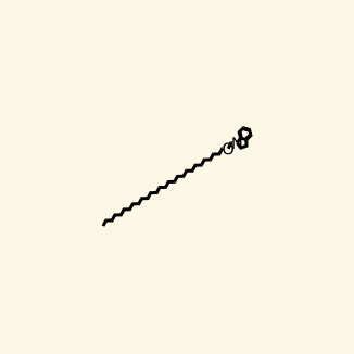 CCCCCCCCCCCCCCCCCCCCCCCCCCCCOCN1CCc2ccccc21